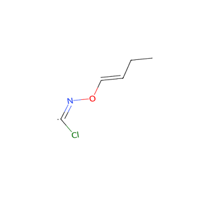 CC/C=C/O/N=[C]\Cl